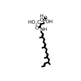 CC=CC(C)C/C(C)=C/CC/C(C)=C/CC/C(C)=C/CNC(=O)C(CP(=O)(O)O)C(=O)O